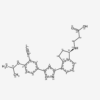 [C-]#[N+]c1cc(-c2nc(-c3cccc4c3CC[C@H]4NCCC(=O)O)no2)ccc1OC(C)C